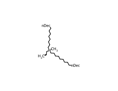 C=CC[N+](C)(CCCCCCCCCCCCCCCCCC)CCCCCCCCCCCCCCCCCCC